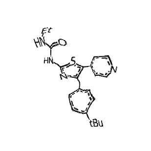 CCNC(=O)Nc1nc(-c2ccc(C(C)(C)C)cc2)c(-c2ccncc2)s1